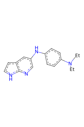 CCN(CC)c1ccc(Nc2cnc3[nH]ccc3c2)cc1